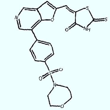 O=C1NC(=S)SC1=Cc1cc2cncc(-c3ccc(S(=O)(=O)N4CCOCC4)cc3)c2o1